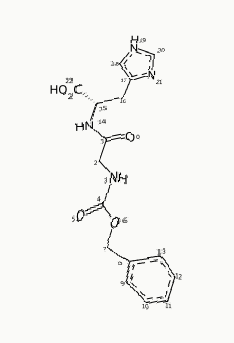 O=C(CNC(=O)OCc1ccccc1)N[C@@H](Cc1c[nH]cn1)C(=O)O